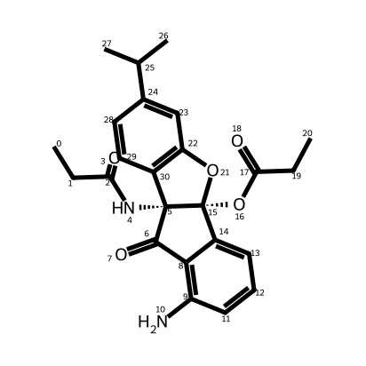 CCC(=O)N[C@@]12C(=O)c3c(N)cccc3[C@]1(OC(=O)CC)Oc1cc(C(C)C)ccc12